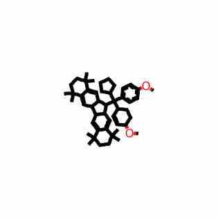 COc1ccc(C(C2C=CC(OC)CC2)(C2CCCC2)C2C3C=C4C(=CC3C3C=C5C(=CC32)C(C)(C)CCC5(C)C)C(C)(C)CCC4(C)C)cc1